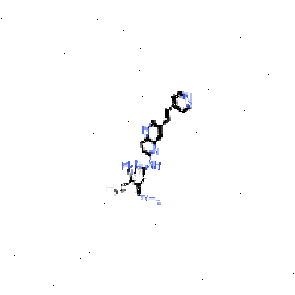 CC(C)C(=C/N)/C=C(\N)Nc1ccc2ncc(/C=C/c3ccncc3)cc2n1